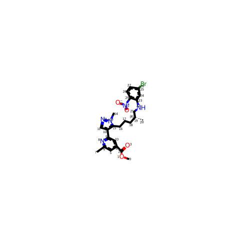 COC(=O)c1cc(C)nc(-c2cnn(C)c2CCC[C@@H](C)CNc2cc(Br)ccc2[N+](=O)[O-])c1